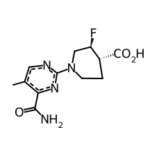 Cc1cnc(N2CC[C@@H](C(=O)O)[C@H](F)C2)nc1C(N)=O